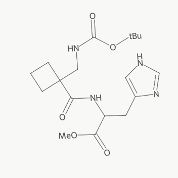 COC(=O)C(Cc1c[nH]cn1)NC(=O)C1(CNC(=O)OC(C)(C)C)CCC1